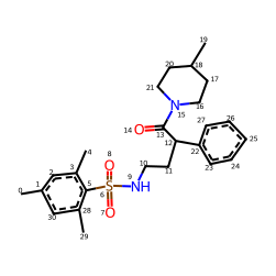 Cc1cc(C)c(S(=O)(=O)NCCC(C(=O)N2CCC(C)CC2)c2ccccc2)c(C)c1